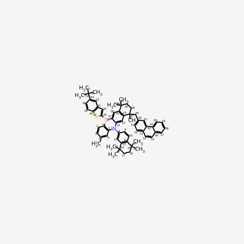 Cc1ccc2c(c1)N(c1ccc3c(c1)C(C)(C)CCC3(C)C)c1cc3c(cc1B2c1cc2cc(C(C)(C)C)ccc2s1)C(C)(C)CCC3(C)Cc1ccc2ccc3ccccc3c2c1